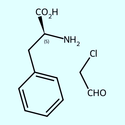 N[C@@H](Cc1ccccc1)C(=O)O.O=CCCl